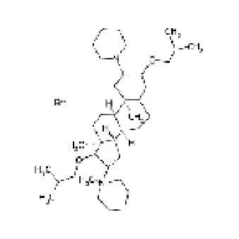 CC(C)COC1CC2CC[C@@H]3[C@@H](CC[C@]4(C)C(OCC(C)C)C([N+]5(C)CCCCC5)C[C@@H]34)[C@@]2(C)CC1N1CCCCC1.[Br-]